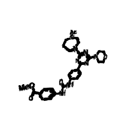 COC(=O)c1ccc(NC(=O)Nc2ccc(-c3nc(N4CCOCC4)nc(N4CCCN(C(C)=O)CC4)n3)cc2)cc1